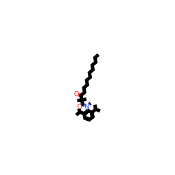 CCCCCCCCCCCC(=O)C(C)(C)C(=O)N(C)c1c(C(C)C)cccc1C(C)C